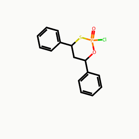 O=P1(Cl)OC(c2ccccc2)CC(c2ccccc2)S1